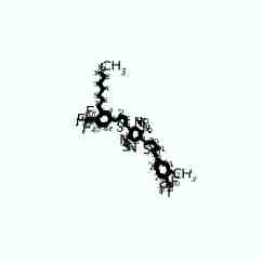 CCCCCCCCc1cc(-c2ccc(-c3c4c(c(-c5ccc(-c6ccc(C(F)(F)F)c(C)c6)s5)c5nsnc35)N=S=N4)s2)ccc1C(F)(F)F